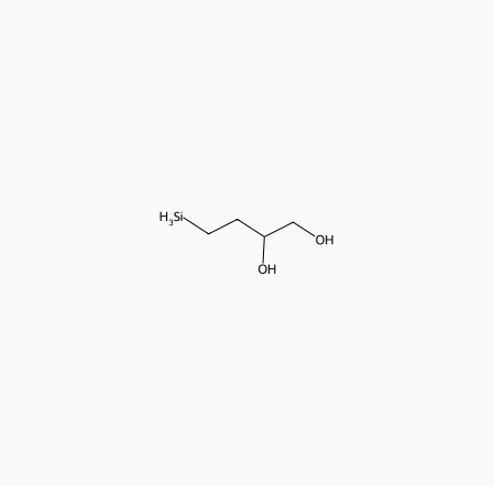 OCC(O)CC[SiH3]